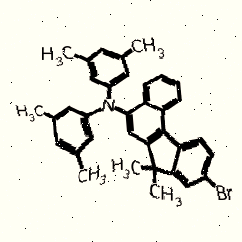 Cc1cc(C)cc(N(c2cc(C)cc(C)c2)c2cc3c(c4ccccc24)-c2ccc(Br)cc2C3(C)C)c1